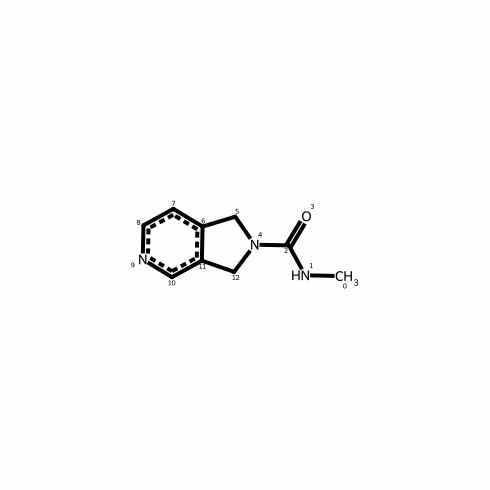 CNC(=O)N1Cc2ccncc2C1